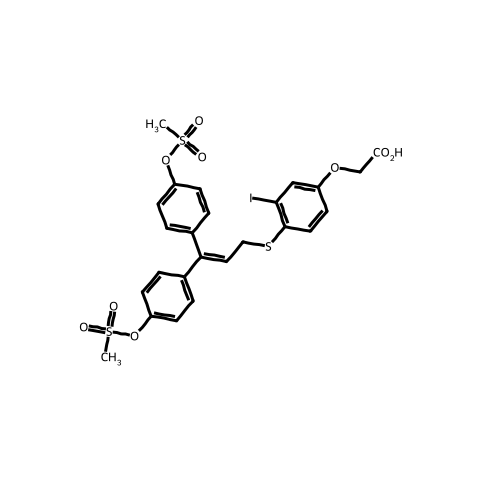 CS(=O)(=O)Oc1ccc(C(=CCSc2ccc(OCC(=O)O)cc2I)c2ccc(OS(C)(=O)=O)cc2)cc1